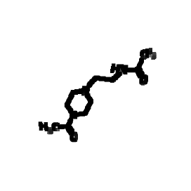 CC(=O)NCCN1CCN(C(C)=O)CC1